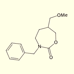 COCC1CCN(Cc2ccccc2)C(=O)OC1